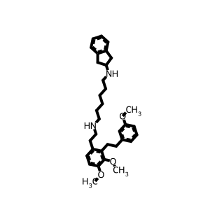 COc1cccc(CCc2c(CCNCCCCCCNC3Cc4ccccc4C3)ccc(OC)c2OC)c1